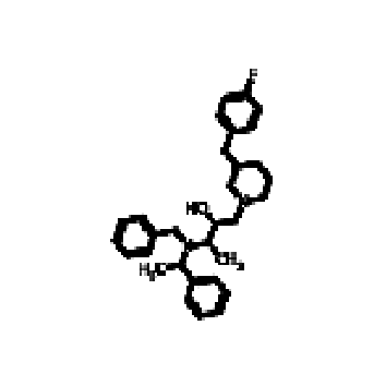 C[C@H](c1ccccc1)N(Cc1ccccc1)[C@H](C)[C@@H](O)CN1CCCC(Cc2ccc(F)cc2)C1